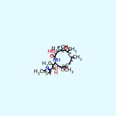 CC(=Cc1csc(C)n1)C1NC(=O)C(O)CC(C)(C)C(=O)C(C)CC(C)CCCC2(C)OC2C1O